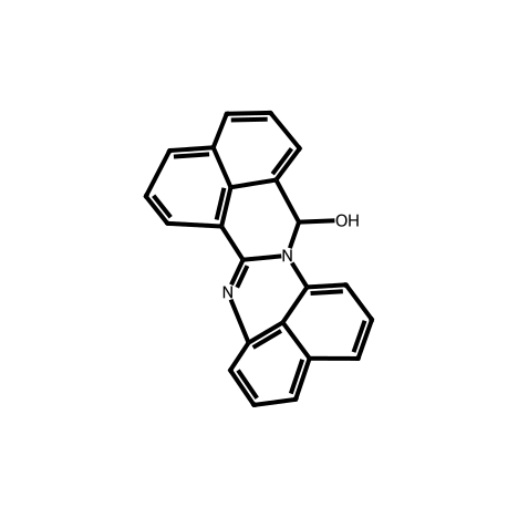 OC1c2cccc3cccc(c23)C2=Nc3cccc4cccc(c34)N21